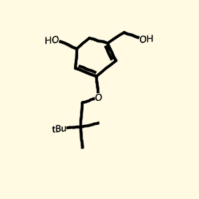 CC(C)(C)C(C)(C)COC1=CC(O)CC(CO)=C1